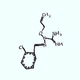 C=CCON(/N=C/c1ccccc1Cl)C(=N)N